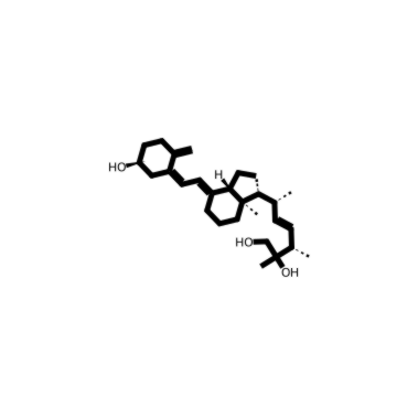 C=C1CC[C@H](O)C/C1=C/C=C1\CCC[C@]2(C)[C@@H]([C@H](C)/C=C/[C@H](C)C(C)(O)CO)CC[C@@H]12